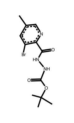 Cc1cnc(C(=O)NNC(=O)OC(C)(C)C)c(Br)c1